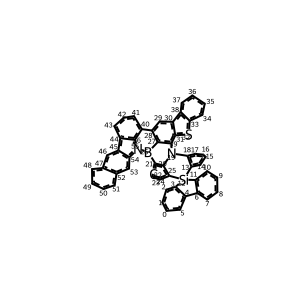 c1ccc2c(c1)-c1ccccc1[Si]21c2ccccc2N2c3c(cccc31)B1c3c(cc4c(sc5ccccc54)c32)-c2cccc3c4cc5ccccc5cc4n1c23